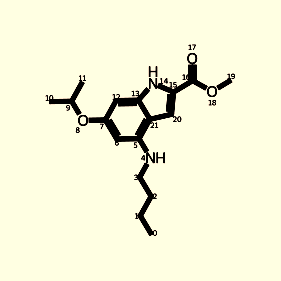 CCCCNc1cc(OC(C)C)cc2[nH]c(C(=O)OC)cc12